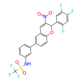 O=[N+]([O-])C1=Cc2cc(-c3cccc(NS(=O)(=O)C(F)(F)F)c3)ccc2OC1c1cc(F)c(F)cc1F